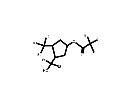 CCC(C)(I)C(=O)OC1CC(C(O)(CC)CC)C(C(O)(CC)CC)C1